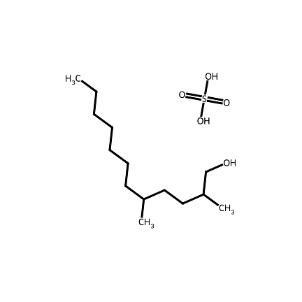 CCCCCCCC(C)CCC(C)CO.O=S(=O)(O)O